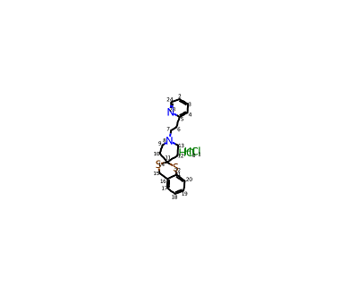 Cl.Cl.c1ccc(CCN2CCC3(CC2)SCc2ccccc2S3)nc1